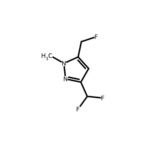 Cn1nc(C(F)F)cc1CF